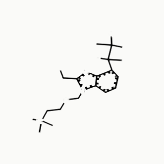 CC(C)(O)C(F)(F)c1cccc2c1nc(CO)n2COCC[Si](C)(C)C